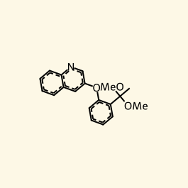 COC(C)(OC)c1ccccc1Oc1cnc2ccccc2c1